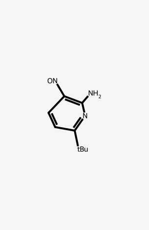 CC(C)(C)c1ccc(N=O)c(N)n1